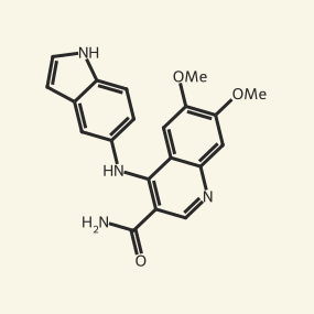 COc1cc2ncc(C(N)=O)c(Nc3ccc4[nH]ccc4c3)c2cc1OC